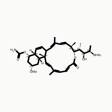 CO[C@@H]1C[C@H](OC(N)=O)[C@@H]2C=CC3/C=C(C)/C=C/[C@@H](C)[C@H]([C@H](C)[C@H](O)[C@@H](C)NC(C)=O)OC(=O)/C=C/C=C(C)\C=C\[C@]3(C)[C@@H]2C1